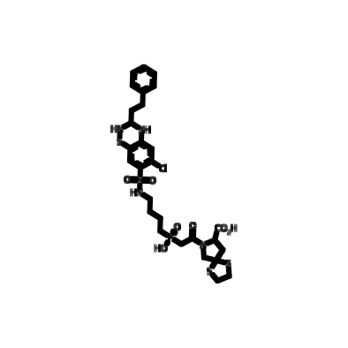 O=C(O)C1CC2(CN1C(=O)CP(=O)(O)CCCCNS(=O)(=O)c1cc3c(cc1Cl)NC(CCc1ccccc1)NS3)SCCS2